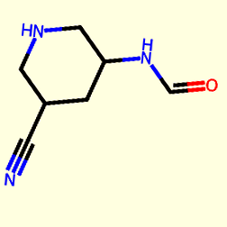 N#CC1CNCC(NC=O)C1